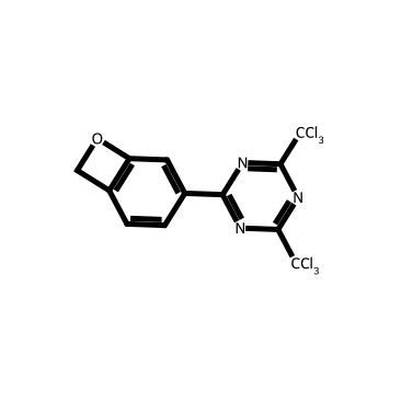 ClC(Cl)(Cl)c1nc(-c2ccc3c(c2)OC3)nc(C(Cl)(Cl)Cl)n1